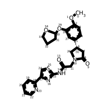 COc1ccc([C@@H]2CC(=O)N(CC(=O)Nc3nc(-c4ccccn4)cs3)C2)cc1OC1CCCO1